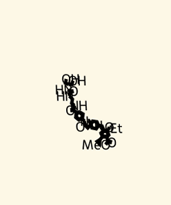 CCOc1cc(C(=O)OC)c(C2CC2)cc1CN1CCC2(CC1)CC(=O)N(c1ccc(C(=O)NCCNC(=O)NC(CO)CO)cc1)C2